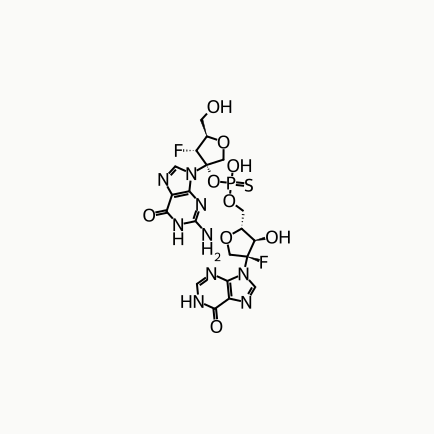 Nc1nc2c(ncn2[C@]2(OP(O)(=S)OC[C@H]3OC[C@@](F)(n4cnc5c(=O)[nH]cnc54)[C@@H]3O)CO[C@H](CO)[C@H]2F)c(=O)[nH]1